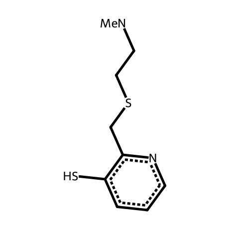 CNCCSCc1ncccc1S